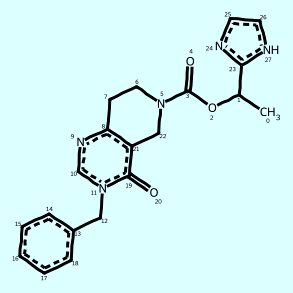 CC(OC(=O)N1CCc2ncn(Cc3ccccc3)c(=O)c2C1)c1ncc[nH]1